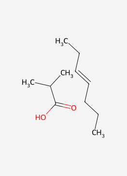 CC(C)C(=O)O.CCC=CCCC